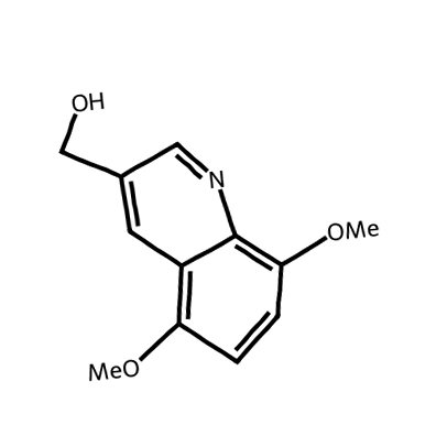 COc1ccc(OC)c2ncc(CO)cc12